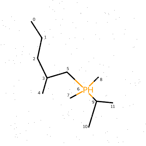 CCCC(C)C[PH](C)(C)C(C)C